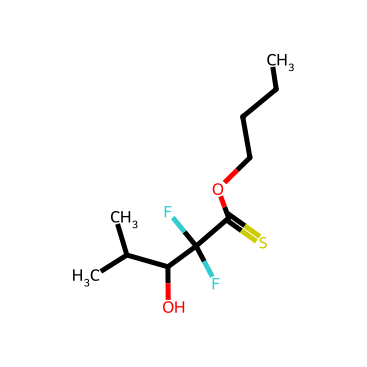 CCCCOC(=S)C(F)(F)C(O)C(C)C